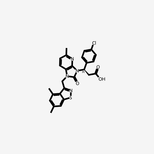 Cc1cc(C)c2c(Cn3c(=O)n([C@H](CC(=O)O)c4ccc(Cl)cc4)c4nc(C)ccc43)nsc2c1